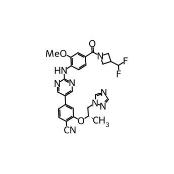 COc1cc(C(=O)N2CC(C(F)F)C2)ccc1Nc1ncc(-c2ccc(C#N)c(O[C@@H](C)Cn3cncn3)c2)cn1